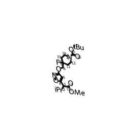 COC(=O)C(c1cc(OCC2(F)CCN(C(=O)OC(C)(C)C)CC2)no1)C(C)C